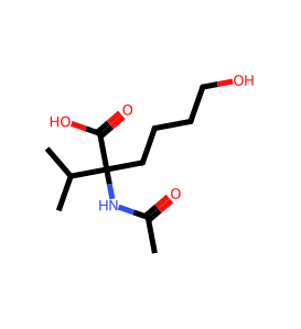 CC(=O)NC(CCCCO)(C(=O)O)C(C)C